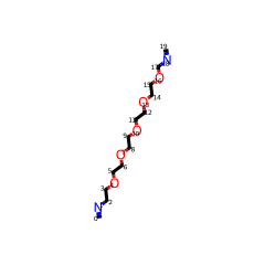 C=NCCOCCOCCOCCOCCOCN=C